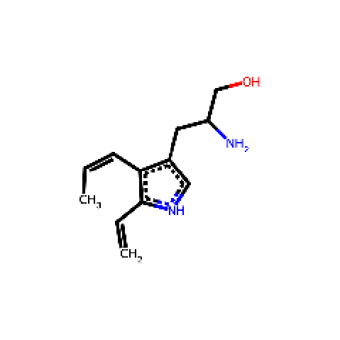 C=Cc1[nH]cc(CC(N)CO)c1/C=C\C